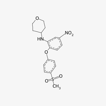 CS(=O)(=O)c1ccc(Oc2ccc([N+](=O)[O-])cc2NC2CCOCC2)cc1